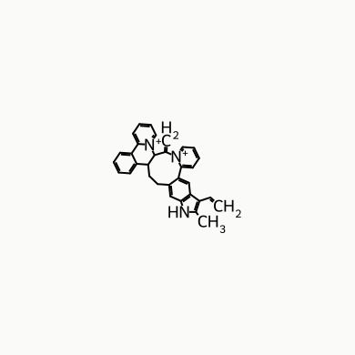 C=Cc1c(C)[nH]c2cc3c(cc12)-c1cccc[n+]1C(=C)C1C(CC3)c2ccccc2-c2cccc[n+]21